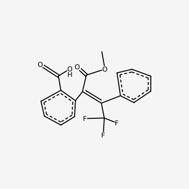 COC(=O)C(=C(c1ccccc1)C(F)(F)F)c1ccccc1C(=O)O